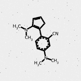 CN(C)C1=C(c2ccc(N(C)C)cc2C#N)CC=C1